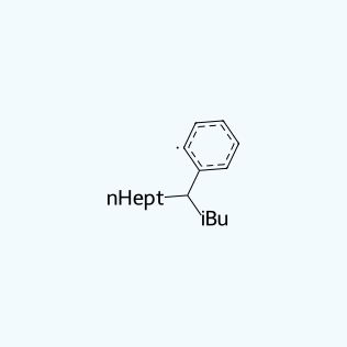 CCCCCCCC(c1[c]cccc1)C(C)CC